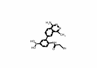 Cc1nnc(N)c2ccc(-c3cc(B(O)O)ccc3NC(=O)CC(C)C)cc12